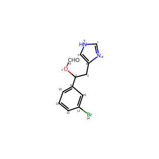 O=COC(Cc1c[nH]cn1)c1cccc(Br)c1